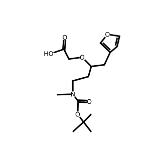 CN(CCC(Cc1ccoc1)OCC(=O)O)C(=O)OC(C)(C)C